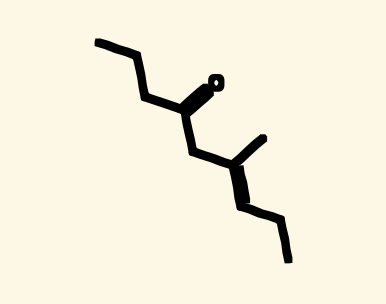 CC/C=C(\C)CC(=O)CCC